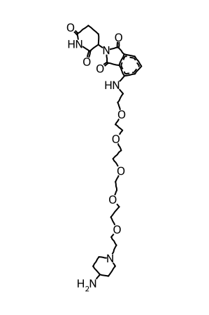 NC1CCN(CCOCCOCCOCCOCCOCCNc2cccc3c2C(=O)N(C2CCC(=O)NC2=O)C3=O)CC1